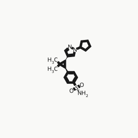 CC1(C)[C@H](c2ccc(S(N)(=O)=O)cc2)[C@H]1c1cnn(C2CCCC2)c1